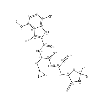 COc1ccc(Cl)c2[nH]c(C(=O)NC(CC3CC3)C(=O)NC(C#N)CC3CC(C)(C)NC3=O)c(F)c12